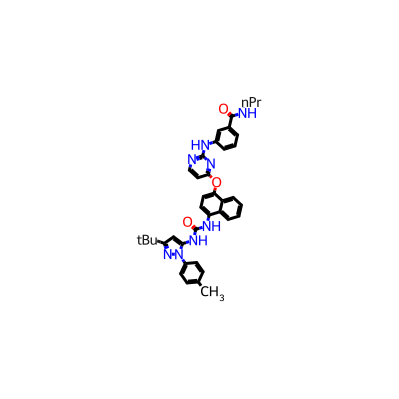 CCCNC(=O)c1cccc(Nc2nccc(Oc3ccc(NC(=O)Nc4cc(C(C)(C)C)nn4-c4ccc(C)cc4)c4ccccc34)n2)c1